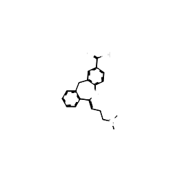 CN(C)CCC=C1Oc2ccc(C(=O)O)cc2Cc2ccccc21